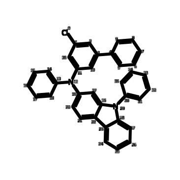 Clc1cc(-c2ccccc2)cc(N(c2ccccc2)c2ccc3c4ccccc4n(-c4ccccc4)c3c2)c1